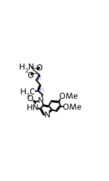 COc1cc2ncc3[nH]c(=O)n(C/C(C)=C/C=C/S(N)(=O)=O)c3c2cc1OC